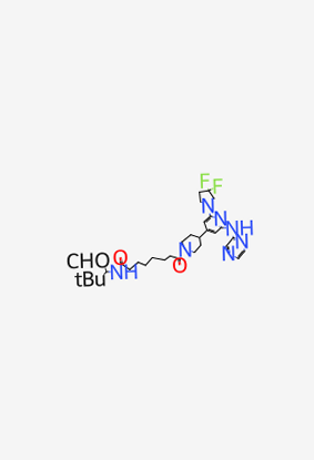 CC(C)(C)C(C=O)NC(=O)CCCCCCC(=O)N1CCC(c2cc(Nc3cnccn3)nc(N3CCC(F)(F)C3)c2)CC1